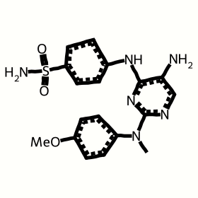 COc1ccc(N(C)c2ncc(N)c(Nc3ccc(S(N)(=O)=O)cc3)n2)cc1